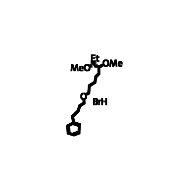 Br.CCN(OC)C(CCCCCOCCCCc1ccccc1)OC